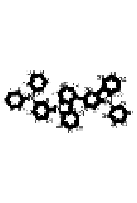 c1ccc(N(c2ccccc2)c2cccc(-n3c4ccccc4c4c(-c5ccc6c(c5)c5ccccc5n6-c5ccccc5)cccc43)c2)cc1